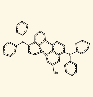 CC(C)(C)c1cc2c(N(c3ccccc3)c3ccccc3)ccc3c4cccc5c(N(c6ccccc6)c6ccccc6)ccc(c(c1)c23)c54